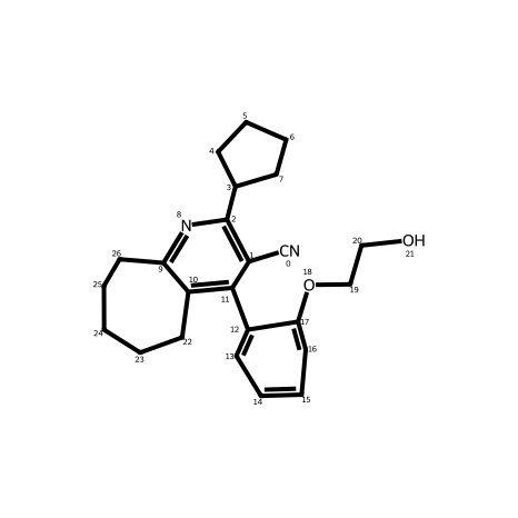 N#Cc1c(C2CCCC2)nc2c(c1-c1ccccc1OCCO)CCCCC2